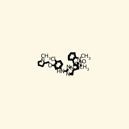 CN1CCCC1COc1cc(Nc2ncc3ccc(-c4ccccc4N(C)S(C)(=O)=O)n3n2)ccc1Cl